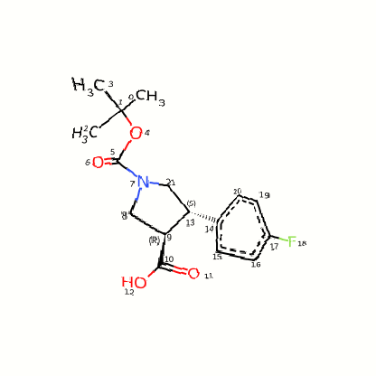 CC(C)(C)OC(=O)N1C[C@H](C(=O)O)[C@@H](c2ccc(F)cc2)C1